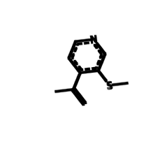 C=C(C)c1ccncc1SC